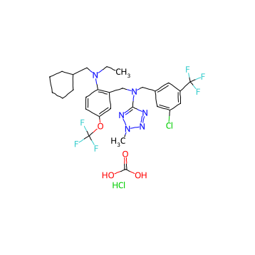 CCN(CC1CCCCC1)c1ccc(OC(F)(F)F)cc1CN(Cc1cc(Cl)cc(C(F)(F)F)c1)c1nnn(C)n1.Cl.O=C(O)O